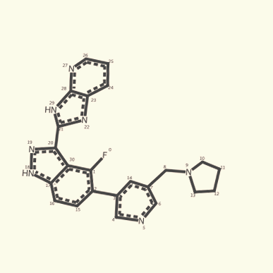 Fc1c(-c2cncc(CN3CCCC3)c2)ccc2[nH]nc(-c3nc4cccnc4[nH]3)c12